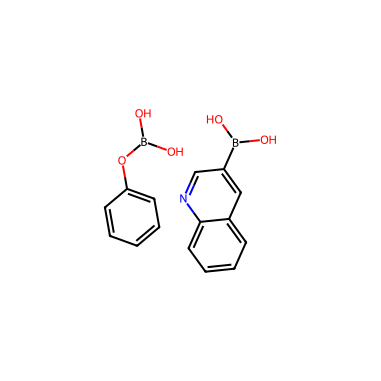 OB(O)Oc1ccccc1.OB(O)c1cnc2ccccc2c1